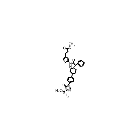 COC(=O)CCc1csc(NC(=O)C(c2ccccc2)N2CCC(c3ccc(-n4cnn(C(C)C)c4=O)cc3)CC2)n1